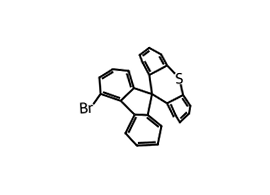 Brc1cccc2c1-c1ccccc1C21c2ccccc2Sc2ccccc21